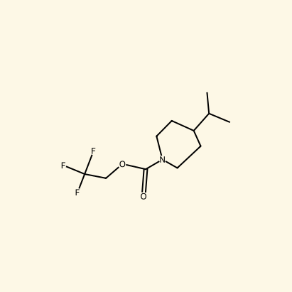 CC(C)C1CCN(C(=O)OCC(F)(F)F)CC1